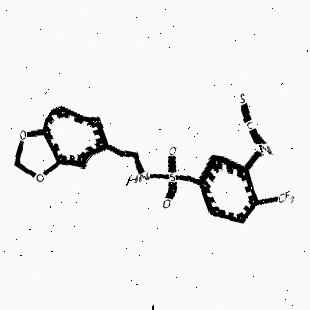 O=S(=O)(NCc1ccc2c(c1)OCO2)c1ccc(C(F)(F)F)c(N=C=S)c1